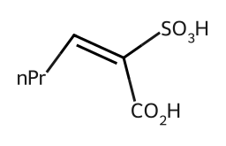 CCC/C=C(\C(=O)O)S(=O)(=O)O